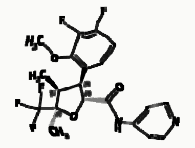 COc1c([C@H]2[C@H](C(=O)Nc3ccncc3)O[C@@](C)(C(F)(F)F)[C@H]2C)ccc(F)c1F